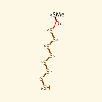 CSOSSSSSSSS